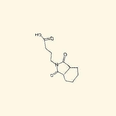 O=C(O)CCCN1C(=O)C2CCCCC2C1=O